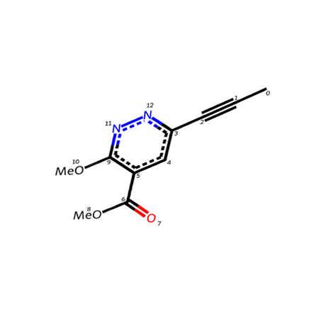 CC#Cc1cc(C(=O)OC)c(OC)nn1